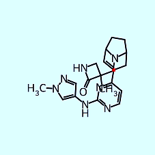 Cn1cc(Nc2nccc(C3=CC4CCC(C3)N4CC3(C)CNC3=O)n2)cn1